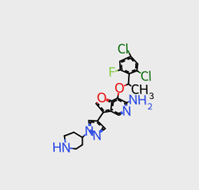 CC(Oc1c(N)ncc2c(-c3cnn(C4CCNCC4)c3)coc12)c1c(F)cc(Cl)cc1Cl